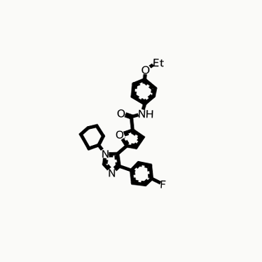 CCOc1ccc(NC(=O)c2ccc(-c3c(-c4ccc(F)cc4)ncn3C3CCCCC3)o2)cc1